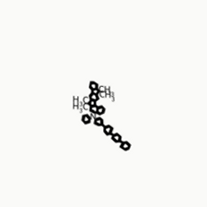 CC1(C)c2ccccc2-c2cc3c(cc21)-c1c(cc(N(c2ccccc2)c2ccc(-c4ccc(-c5ccc(-c6ccccc6)cc5)cc4)cc2)c2ccccc12)C3(C)C